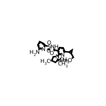 COCC1CC1c1ccc(C(=O)NS(=O)(=O)c2cccc(N)n2)c(N2C[C@@H](C)CC2(C)C)n1